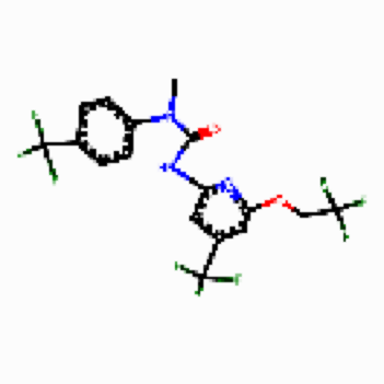 CN(C(=O)Nc1cc(C(F)(F)F)cc(OCC(F)(F)F)n1)c1ccc(C(F)(F)F)cc1